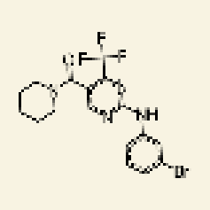 O=C(c1cnc(Nc2cccc(Br)c2)nc1C(F)(F)F)N1CCCCC1